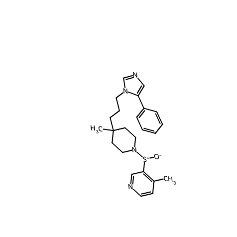 Cc1ccncc1[S+]([O-])N1CCC(C)(CCCn2cncc2-c2ccccc2)CC1